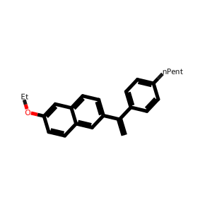 C=C(c1ccc(CCCCC)cc1)c1ccc2cc(OCC)ccc2c1